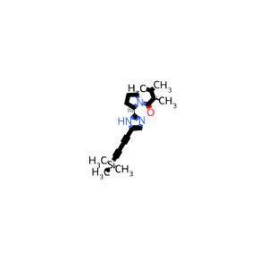 CC(C)[C@H](C)C(=O)N1CCC[C@H]1c1ncc(C#CC#C[Si](C)(C)C)[nH]1